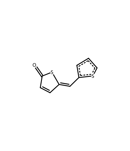 O=C1C=C/C(=C/c2cccs2)S1